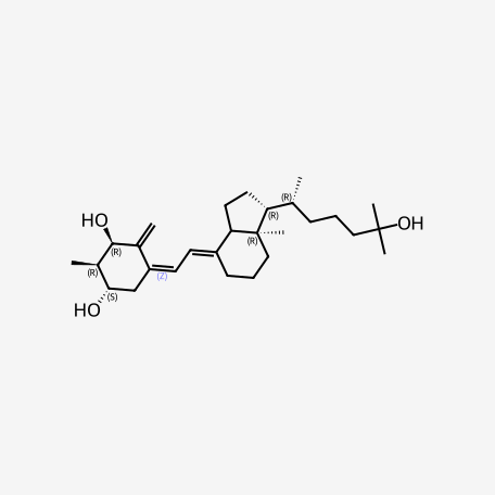 C=C1/C(=C\C=C2CCC[C@@]3(C)C2CC[C@@H]3[C@H](C)CCCC(C)(C)O)C[C@H](O)[C@@H](C)[C@H]1O